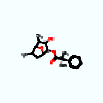 CO[C@@](C(=O)O[C@@H]1C2CC(C)C(O2)C(C)[C@@H]1O)(c1ccccc1)C(F)(F)F